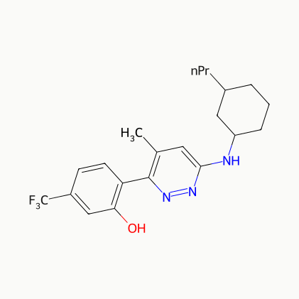 CCCC1CCCC(Nc2cc(C)c(-c3ccc(C(F)(F)F)cc3O)nn2)C1